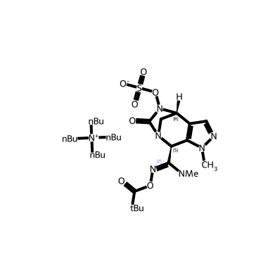 CCCC[N+](CCCC)(CCCC)CCCC.CN/C(=N\OC(=O)C(C)(C)C)[C@@H]1c2c(cnn2C)[C@@H]2CN1C(=O)N2OS(=O)(=O)[O-]